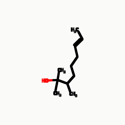 CC=CCCCC(C)C(C)(C)O